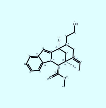 C/C=C1/CN(CCO)[C@H]2C[C@@H]1[C@@H](C(=O)OC)n1c2cc2ccccc21